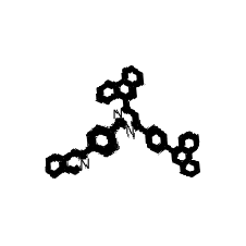 c1ccc2cc(-c3ccc(-c4nc(-c5ccc(-c6cc7ccccc7c7ccccc67)cc5)cc(-c5cc6ccccc6c6ccccc56)n4)cc3)ncc2c1